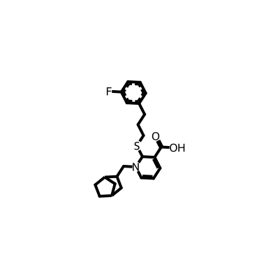 O=C(O)C1=CC=CN(CC2CC3CCC2C3)C1SCCCc1cccc(F)c1